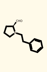 O=C[C@@H]1CCCN1CCc1ccccc1